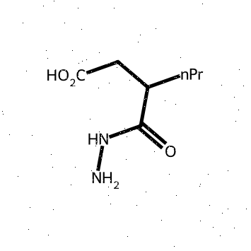 CCCC(CC(=O)O)C(=O)NN